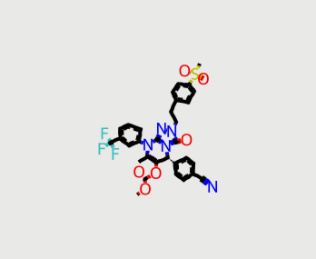 COC(=O)OC1=C(C)N(c2cccc(C(F)(F)F)c2)c2nn(CCc3ccc(S(C)(=O)=O)cc3)c(=O)n2[C@@H]1c1ccc(C#N)cc1